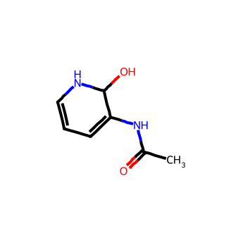 CC(=O)NC1=CC=CNC1O